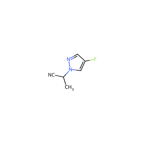 CC(C#N)n1cc(F)cn1